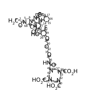 C=CC(=O)N1CCN(c2nc(=O)n(-c3ccccc3CCC)c3cc(-c4c(O)cc(OCCOCCOCCNC(=O)CN5CCN(CC(=O)O)CCN(CC(=O)O)CCN(CC(=O)O)CC5)cc4F)c(Cl)cc23)[C@@H](C)C1